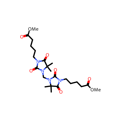 COC(=O)CCCCN1C(=O)N(CN2C(=O)N(CCCCC(=O)OC)C(=O)C2(C)C)C(C)(C)C1=O